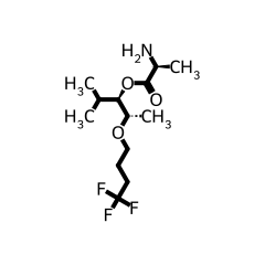 CC(C)[C@@H](OC(=O)[C@H](C)N)[C@H](C)OCCCC(F)(F)F